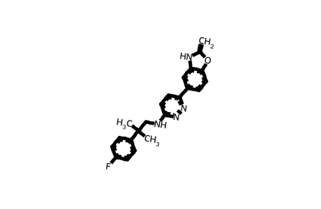 C=C1Nc2cc(-c3ccc(NCC(C)(C)c4ccc(F)cc4)nn3)ccc2O1